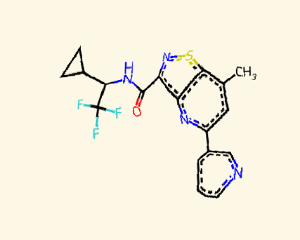 Cc1cc(-c2cccnc2)nc2c(C(=O)NC(C3CC3)C(F)(F)F)nsc12